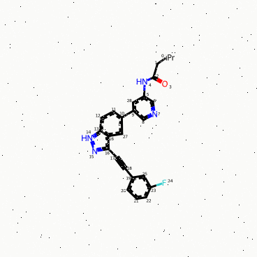 CC(C)CC(=O)Nc1cncc(-c2ccc3[nH]nc(C#Cc4cccc(F)c4)c3c2)c1